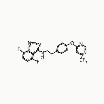 Fc1ccc(F)c2c(NCCc3ccc(Oc4cc(C(F)(F)F)ncn4)cc3)ncnc12